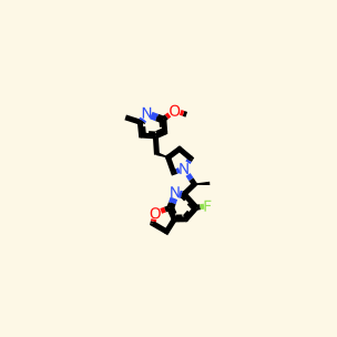 COc1cc(C[C@H]2CCN([C@@H](C)c3nc4c(cc3F)CCO4)C2)cc(C)n1